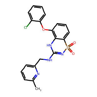 Cc1cccc(CNC2=NS(=O)(=O)c3cccc(Oc4ccccc4Cl)c3N2)n1